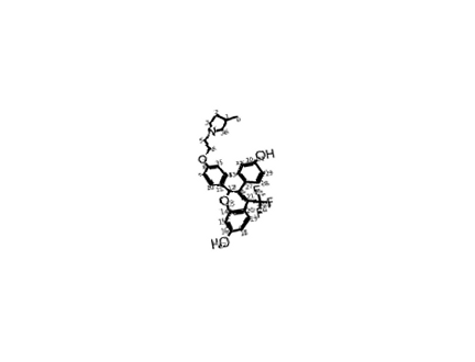 CC1CCN(CCOc2ccc(C3Oc4cc(O)ccc4C(C(F)(F)F)=C3c3ccc(O)cc3)cc2)C1